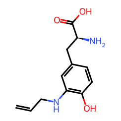 C=CCNc1cc(C[C@H](N)C(=O)O)ccc1O